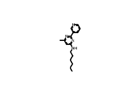 CCCCCCNc1cc(C)nc(-c2cccnc2)n1